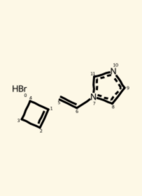 Br.C1=CCC1.C=Cn1ccnc1